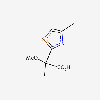 COC(C)(C(=O)O)c1nc(C)cs1